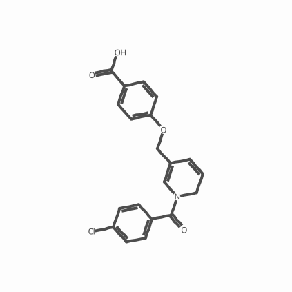 O=C(O)c1ccc(OCC2=CN(C(=O)c3ccc(Cl)cc3)CC=C2)cc1